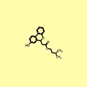 CN(C)CCOC(=O)CC1Oc2ccccc2-c2ccc(O)cc21